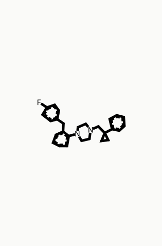 Fc1ccc(Cc2ccccc2N2CCN(CC3(c4ccccc4)CC3)CC2)cc1